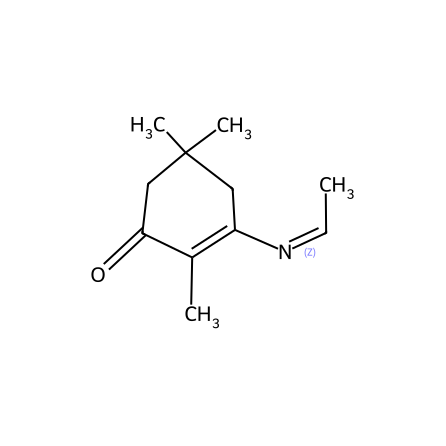 C/C=N\C1=C(C)C(=O)CC(C)(C)C1